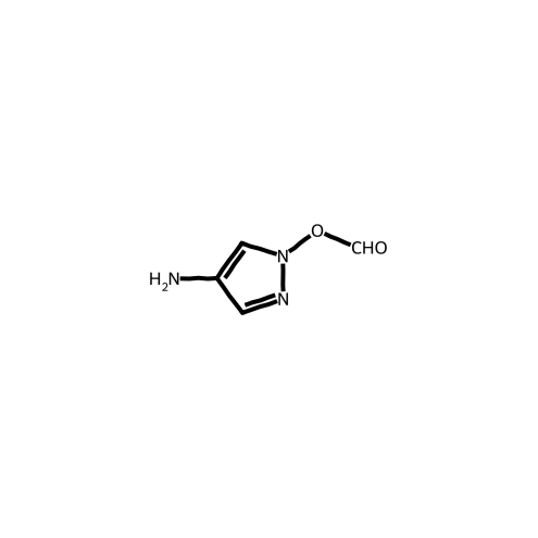 Nc1cnn(OC=O)c1